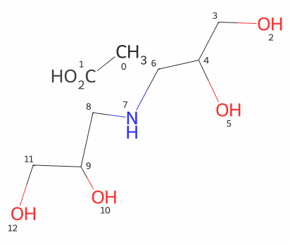 CC(=O)O.OCC(O)CNCC(O)CO